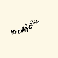 COc1cccc(CNc2nc3cc(-c4ccncc4)ccc3[nH]2)c1